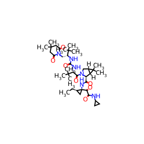 CC[C@@H]1C[C@@]1(NC(=O)[C@@H]1[C@@H]2[C@H](CN1C(=O)[C@@H](NC(=O)N[C@H](CN1C(=O)CC(C)(C)CC1=O)C(C)(C)C)C(C)(C)C)C2(C)C)C(=O)C(=O)NC1CC1